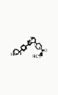 N#C[C@H]1C[C@@H]1C(=O)N1CCN(C2CC=Nn3cc(-c4ccc(C5(F)CCCNC5)cc4)cc32)CC1